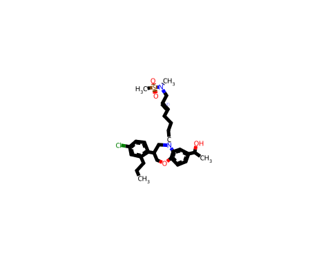 CCCc1cc(Cl)ccc1C1COc2ccc(C(C)O)cc2N(CCCC/C=C/CN(C)S(C)(=O)=O)C1